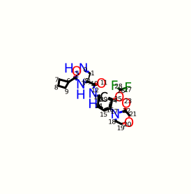 NC[C@H](NC(=O)C1CCC1)C(=O)Nc1ccc(N2CCOCC2=O)c(OC(F)F)c1